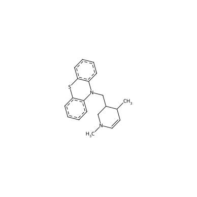 CC1C=CN(C)CC1CN1c2ccccc2Sc2ccccc21